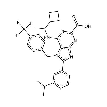 CC(C)c1cc(-c2nc3nc(C(=O)O)nc(NC(C)C4CCC4)c3n2Cc2ccc(C(F)(F)F)cc2)ccn1